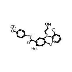 Cl.O=C(Nc1ccc(OC(F)(F)F)cc1)c1ccc(Cl)c(N(CCO)c2ncccc2Cl)c1